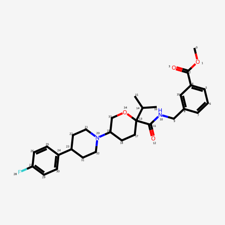 COC(=O)c1cccc(CNC(=O)C2(C(C)C)CCC(N3CCC(c4ccc(F)cc4)CC3)CO2)c1